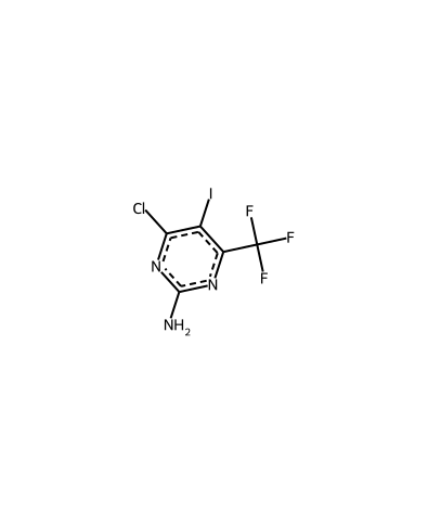 Nc1nc(Cl)c(I)c(C(F)(F)F)n1